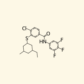 CCC1CC(C)CC(Sc2cc(C(=O)Nc3cc(F)c(F)c(F)c3)ccc2Cl)C1